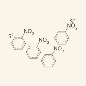 O=[N+]([O-])c1ccccc1.O=[N+]([O-])c1ccccc1.O=[N+]([O-])c1ccccc1.O=[N+]([O-])c1ccccc1.[S-2].[S-2]